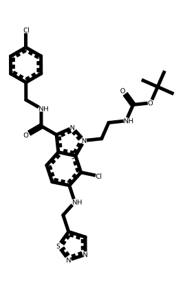 CC(C)(C)OC(=O)NCCn1nc(C(=O)NCc2ccc(Cl)cc2)c2ccc(NCc3cnns3)c(Cl)c21